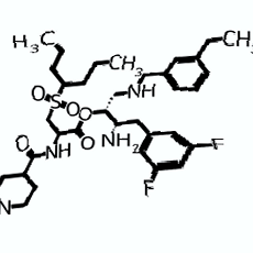 CCCC(CCC)S(=O)(=O)CC(NC(=O)C1CCNCC1)C(=O)O[C@H](CNCc1cccc(CC)c1)[C@@H](N)Cc1cc(F)cc(F)c1